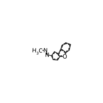 CN=Nc1ccc2oc3ccccc3c2c1